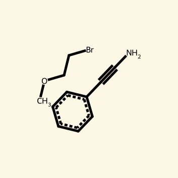 COCCBr.NC#Cc1ccccc1